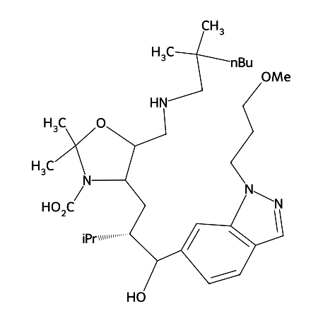 CCCCC(C)(C)CNCC1OC(C)(C)N(C(=O)O)C1C[C@@H](C(C)C)C(O)c1ccc2cnn(CCCOC)c2c1